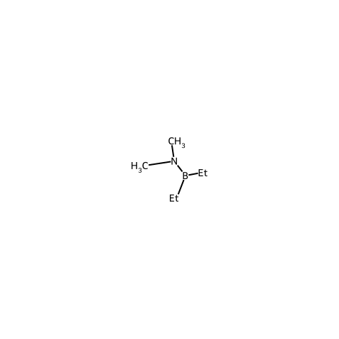 CCB(CC)N(C)C